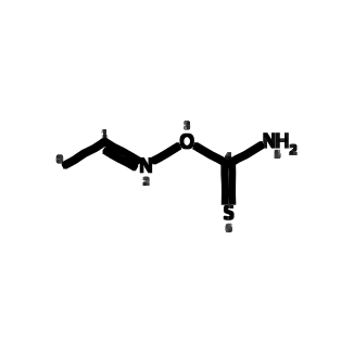 CC=NOC(N)=S